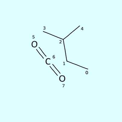 CCC(C)C.O=C=O